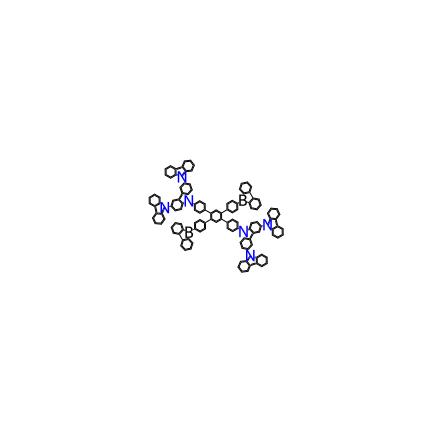 c1ccc2c(c1)B(c1ccc(-c3cc(-c4ccc(-n5c6ccc(-n7c8ccccc8c8ccccc87)cc6c6cc(-n7c8ccccc8c8ccccc87)ccc65)cc4)c(-c4ccc(B5c6ccccc6-c6ccccc65)cc4)cc3-c3ccc(-n4c5ccc(-n6c7ccccc7c7ccccc76)cc5c5cc(-n6c7ccccc7c7ccccc76)ccc54)cc3)cc1)c1ccccc1-2